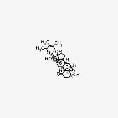 C=C1O[C@@H]([C@](C)(O)[C@]2(O)CC[C@@]3(O)[C@@H]4C[C@H]5O[C@]56[C@H](C)C=CC(=O)[C@]6(C)[C@H]4CC[C@]23CC)CC(C)=C1C